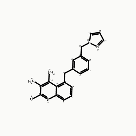 Nc1c(Cl)nc2cccc(Cc3cccc(Cn4cccn4)c3)c2c1N